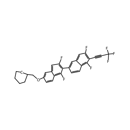 Fc1cc2cc(-c3c(F)cc4cc(OCC5CCCCC5)ccc4c3F)ccc2c(F)c1C#CC(F)(F)F